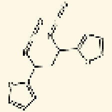 O=C=NC(CC(N=C=O)c1ccco1)c1ccco1